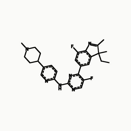 CCC1(C)C(C)=Nc2c(F)cc(-c3nc(Nc4ccc(C5CCN(C)CC5)cn4)ncc3F)cc21